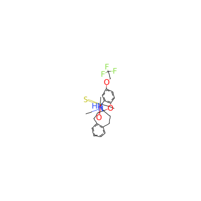 CN1C(=O)C2(NC1=S)c1cc(OCC(F)(F)F)ccc1OC21CCc2ccccc2CC1